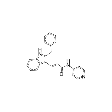 O=C(C=Cc1c(Cc2ccccc2)[nH]c2ccccc12)Nc1ccncc1